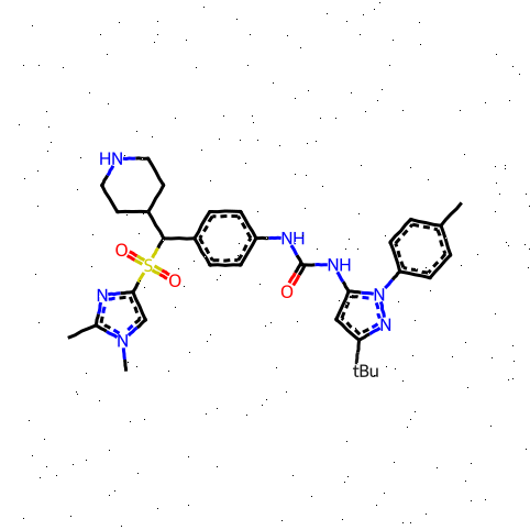 Cc1ccc(-n2nc(C(C)(C)C)cc2NC(=O)Nc2ccc(C(C3CCNCC3)S(=O)(=O)c3cn(C)c(C)n3)cc2)cc1